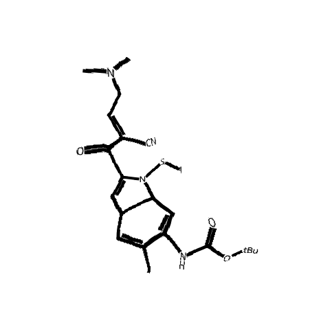 CC1=CC2C=C(C(=O)/C(C#N)=C/CN(C)C)N(SI)C2C=C1NC(=O)OC(C)(C)C